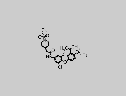 COc1ccc(Oc2c(Cl)cc(NC(=O)CC3CCN(S(C)(=O)=O)CC3)cc2Cl)cc1C(C)C